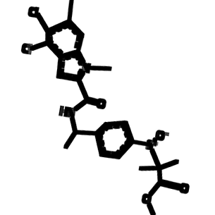 COC(=O)C(C)(C)[S+]([O-])c1ccc(C(C)NC(=O)c2cc3c(Cl)c(Cl)c(C)cc3n2C)cc1